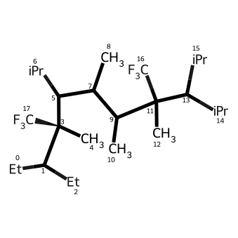 CCC(CC)[C@@](C)(C(C(C)C)C(C)C(C)C(C)(C(C(C)C)C(C)C)C(F)(F)F)C(F)(F)F